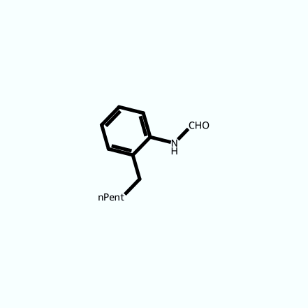 CCCCCCc1ccccc1NC=O